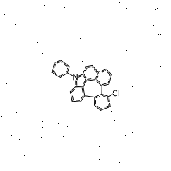 Clc1cccc2c1-c1cccc3ccc4c(c13)c1c-2cccc1n4-c1ccccc1